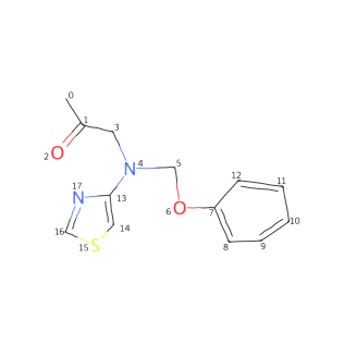 CC(=O)CN(COc1ccccc1)c1cscn1